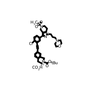 CC(C)(C)OC(=O)N1Cc2cc(C#Cc3cc(-c4nn(CCCN5CCOCC5)c5c4CN(S(C)(=O)=O)CC5)ccc3Cl)ccc2C[C@H]1C(=O)O